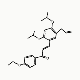 C=CCc1cc(C=CC(=O)c2ccc(OCC)cc2)c(OC(C)C)cc1OC(C)C